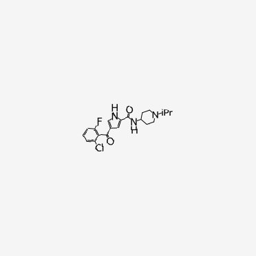 CC(C)N1CCC(NC(=O)c2cc(C(=O)c3c(F)cccc3Cl)c[nH]2)CC1